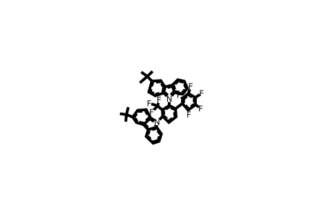 CC(C)(C)c1ccc2c(c1)c1ccccc1n2-c1ccc(-c2c(F)c(F)c(F)c(F)c2F)c(-n2c3ccccc3c3cc(C(C)(C)C)ccc32)c1C(F)(F)F